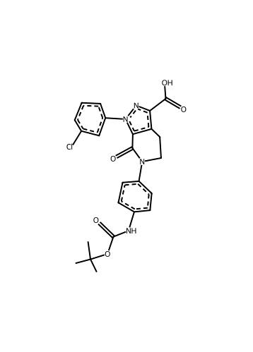 CC(C)(C)OC(=O)Nc1ccc(N2CCc3c(C(=O)O)nn(-c4cccc(Cl)c4)c3C2=O)cc1